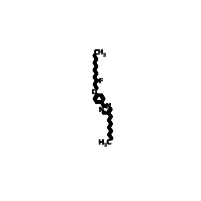 CCCCCCCCc1cnc(-c2ccc(OCCC(F)CCCCCCCC)cc2)nc1